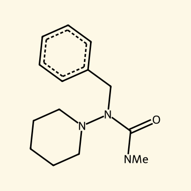 CNC(=O)N(Cc1ccccc1)N1CCCCC1